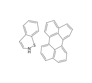 C1=Cc2ccccc2SN1.c1cc2cccc3c4cccc5cccc(c(c1)c23)c54